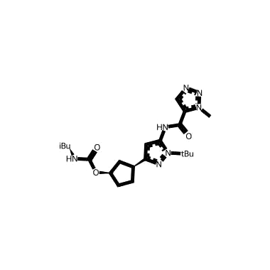 CC[C@H](C)NC(=O)O[C@@H]1CC[C@H](c2cc(NC(=O)c3cnnn3C)n(C(C)(C)C)n2)C1